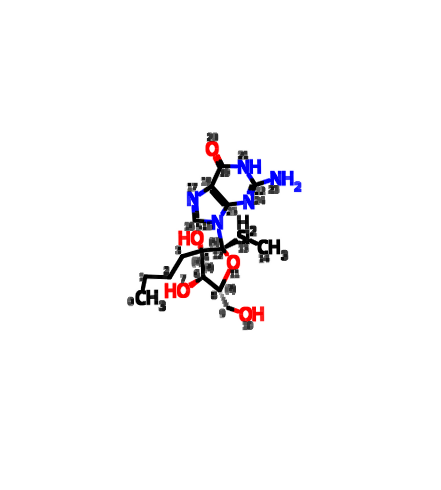 CCCC[C@@]1(O)[C@H](O)[C@@H](CO)O[C@@]1([SiH2]C)n1cnc2c(=O)[nH]c(N)nc21